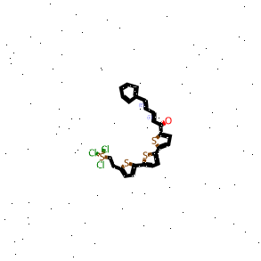 O=C(/C=C/C=C/c1ccccc1)c1ccc(-c2ccc(-c3ccc(CCS(Cl)(Cl)Cl)s3)s2)s1